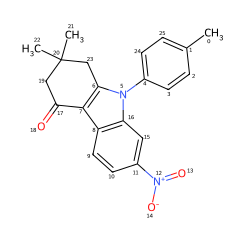 Cc1ccc(-n2c3c(c4ccc([N+](=O)[O-])cc42)C(=O)CC(C)(C)C3)cc1